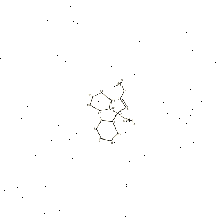 CC(C)CC=CC(P)(C1CCCCC1)C1CCCCC1